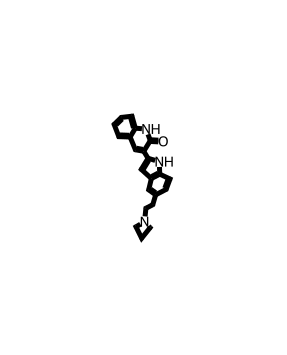 O=c1[nH]c2ccccc2cc1-c1cc2cc(CCN3CCC3)ccc2[nH]1